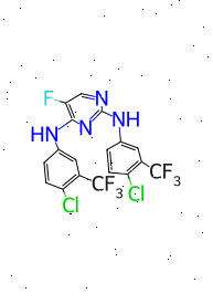 Fc1cnc(Nc2ccc(Cl)c(C(F)(F)F)c2)nc1Nc1ccc(Cl)c(C(F)(F)F)c1